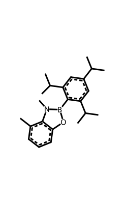 Cc1cccc2c1N(C)B(c1c(C(C)C)cc(C(C)C)cc1C(C)C)O2